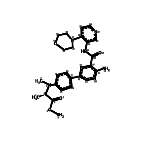 BOC(=O)[C@H](C)N(C)c1ccc(-c2cnc(N)c(C(=O)Nc3cnccc3N3CCOCC3)n2)cc1